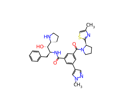 Cc1csc([C@H]2CCCN2C(=O)c2cc(C(=O)N[C@@H](Cc3ccccc3)[C@H](O)[C@H]3CCCN3)cc(-c3cnn(C)c3)c2)n1